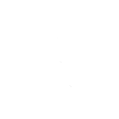 CN(C)Cc1cc2c(o1)CCN(C(=O)c1ccc(C(=O)c3ccco3)cc1)C2.Cl